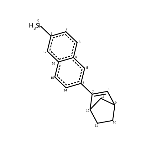 [SiH3]c1ccc2cc(C3=CC4CCC3C4)ccc2c1